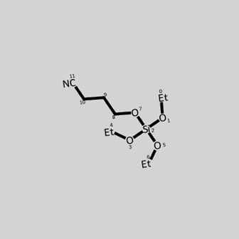 CCO[Si](OCC)(OCC)OCCCC#N